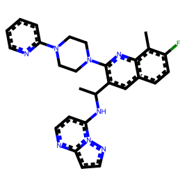 Cc1c(F)ccc2cc(C(C)Nc3ccnc4ccnn34)c(N3CCN(c4ccccn4)CC3)nc12